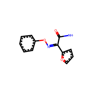 [NH]C(=O)C(=NOc1ccccc1)c1ccco1